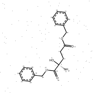 N[C@](O)(CCC(=O)OCc1ccccc1)C(=O)OCc1ccccc1